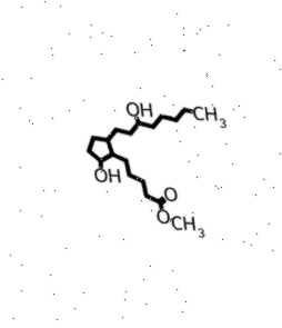 CCCCCC(O)CCC1CCC(O)C1CCCCC(=O)OC